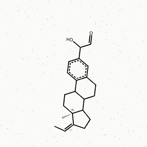 C/C=C1/CCC2C3CCc4cc(C(O)C=O)ccc4C3CC[C@]12C